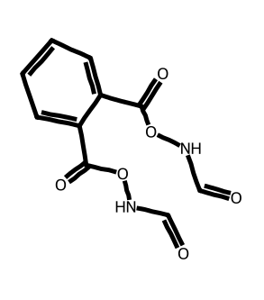 O=CNOC(=O)c1ccccc1C(=O)ONC=O